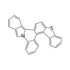 c1ccc2c(c1)cn1c3ccccc3c3c(ccc4sc5ccccc5c43)c21